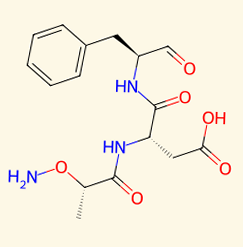 C[C@H](ON)C(=O)N[C@@H](CC(=O)O)C(=O)N[C@H](C=O)Cc1ccccc1